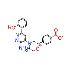 COC(=O)c1ccc([C@@H]2CN(c3cc(-c4ccccc4O)nnc3N)[C@H](C)CO2)cc1